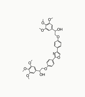 COc1cc(C(O)COc2ccc(-c3coc(-c4ccc(OCC(O)c5cc(OC)c(OC)c(OC)c5)cc4)n3)cc2)cc(OC)c1OC